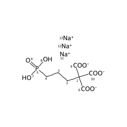 O=C([O-])C(CCCP(=O)(O)O)(C(=O)[O-])C(=O)[O-].[Na+].[Na+].[Na+]